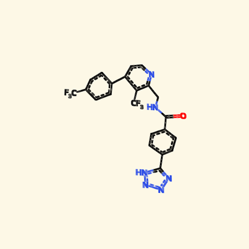 O=C(NCc1nccc(-c2ccc(C(F)(F)F)cc2)c1C(F)(F)F)c1ccc(-c2nnn[nH]2)cc1